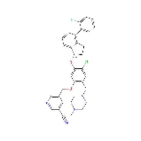 CN1CCN(Cc2cc(Cl)c(O[C@H]3CCc4c(-c5ccccc5F)cccc43)cc2OCc2cncc(C#N)c2)CC1